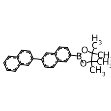 CC1(C)OB(c2ccc3cc(-c4ccc5ccccc5c4)ccc3c2)OC1(C)C